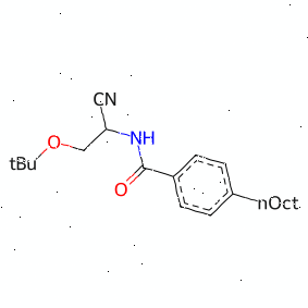 CCCCCCCCc1ccc(C(=O)NC(C#N)COC(C)(C)C)cc1